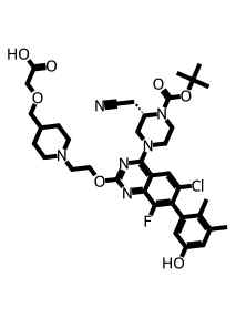 Cc1cc(O)cc(-c2c(Cl)cc3c(N4CCN(C(=O)OC(C)(C)C)[C@@H](CC#N)C4)nc(OCCN4CCC(COCC(=O)O)CC4)nc3c2F)c1C